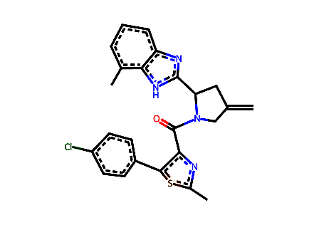 C=C1CC(c2nc3cccc(C)c3[nH]2)N(C(=O)c2nc(C)sc2-c2ccc(Cl)cc2)C1